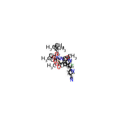 COC(=O)[C@@]1(C)SC(N(COCC[Si](C)(C)C)C(=O)OC(C)(C)C)=N[C@](C)(c2cc(/C=C(\F)c3ccc(C#N)cn3)cnc2OC)[C@@H]1C